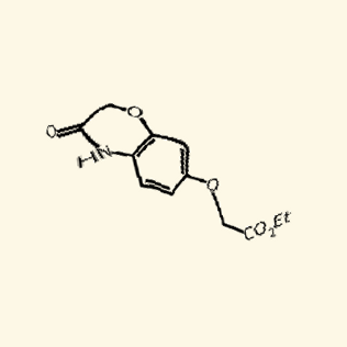 CCOC(=O)COc1ccc2c(c1)OCC(=O)N2